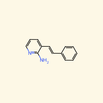 Nc1ncccc1/C=C/c1ccccc1